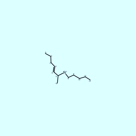 CCCC=CC(C)[N]CCCCC